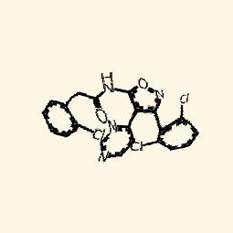 O=C(Cc1ccccc1Cl)Nc1onc(-c2c(Cl)cccc2Cl)c1-c1ccncn1